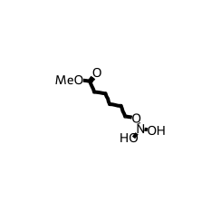 COC(=O)CCCCCON(O)O